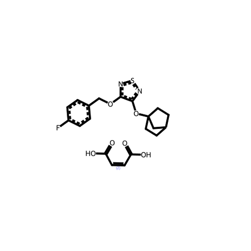 Fc1ccc(COc2nsnc2OC23CCC(CC2)C3)cc1.O=C(O)/C=C\C(=O)O